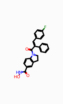 O=C(NO)c1ccc2c(c1)CCN2C(=O)C(=Cc1ccc(F)cc1)c1ccccc1